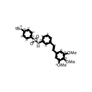 COc1cc(C=Cc2cccc(NS(=O)(=O)c3ccc(C(C)(C)C)cc3)c2)cc(OC)c1OC